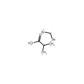 CC(=O)C(C)C.CC(=O)CC(C)C